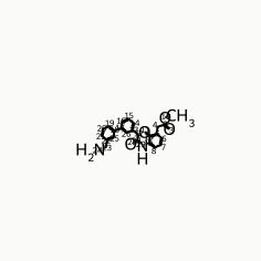 COC(=O)Cc1cccc2c1OC(c1cccc(-c3cccc(CN)c3)c1)C(=O)N2